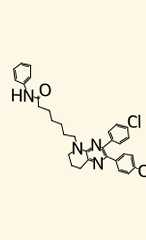 O=C(CCCCCCN1CCCc2nc(-c3ccc(Cl)cc3)c(-c3ccc(Cl)cc3)nc21)Nc1ccccc1